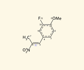 COc1ccc(/C=C(\C)[N+](=O)[O-])cc1F